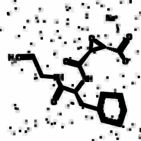 C=CCNC(=O)[C@H](Cc1ccccc1)NC(=O)[C@H]1O[C@@H]1C(=O)[O-].[Na+]